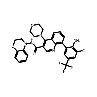 Nc1c(Cl)cc(C(F)(F)F)cc1-c1cccc2c(N3CCOCC3)c(C(=O)NN3CCOc4ccccc43)cnc12